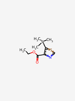 CCOC(=O)c1ncsc1[Si](C)(C)C